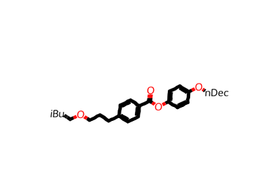 CCCCCCCCCCOc1ccc(OC(=O)c2ccc(CCCOCC(C)CC)cc2)cc1